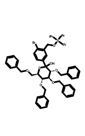 CC(C)[Si](OCc1cc(C2(O)O[C@H](COCc3ccccc3)[C@@H](OCc3ccccc3)[C@H](OCc3ccccc3)[C@H]2OCc2ccccc2)ccc1Br)(C(C)C)C(C)C